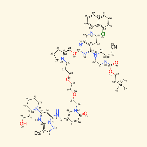 CCc1cnn2c(NCc3ccc(=O)n(CCOCCOCCCN4CCC[C@H]4COc4nc5c(c(N6CCN(C(=O)OCC[Si](C)(C)C)[C@@H](CC#N)C6)n4)CCN(c4cccc6cccc(Cl)c46)C5)c3)cc(N3CCCC[C@H]3CCO)nc12